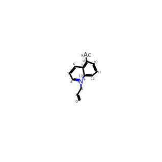 C=CC[n+]1cccc2c(C(C)=O)cccc21